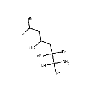 CCCCC(C)CC(O)CC(CCCC)(C(C)C)C(N)(N)C(C)C